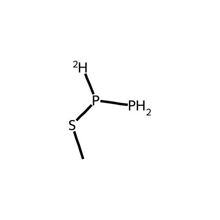 [2H]P(P)SC